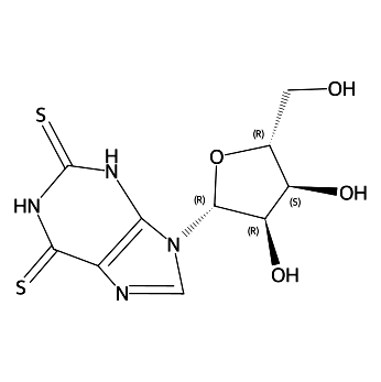 OC[C@H]1O[C@@H](n2cnc3c(=S)[nH]c(=S)[nH]c32)[C@H](O)[C@@H]1O